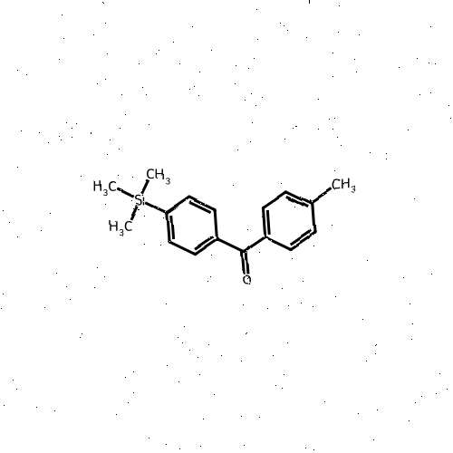 Cc1ccc(C(=O)c2ccc([Si](C)(C)C)cc2)cc1